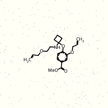 C=CCOCCNC1(Oc2ccc(C(=O)OC)cc2OCC=C)CCC1